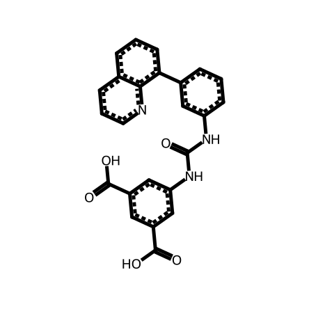 O=C(Nc1cc(C(=O)O)cc(C(=O)O)c1)Nc1cccc(-c2cccc3cccnc23)c1